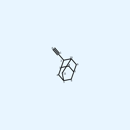 [C]#CC1C2CC3CC(C2)CC1C3